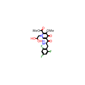 COC(=O)c1c(OC)c(=O)c(C(=O)[C@@H](N)Cc2c(F)cc(F)cc2F)cn1CC(O)O